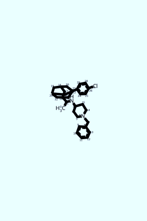 CC(NC1CCN(Cc2ccccc2)CC1)C12CC3CC(CC(c4ccc(Cl)cc4)(C3)C1)C2